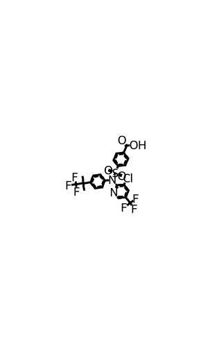 CC(C)(c1ccc(N(c2ncc(C(F)(F)F)cc2Cl)S(=O)(=O)c2ccc(C(=O)O)cc2)cc1)C(F)(F)F